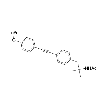 CCCOc1ccc(C#Cc2ccc(CC(C)(C)NC(C)=O)cc2)cc1